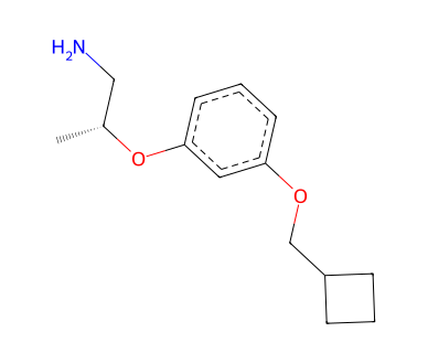 C[C@H](CN)Oc1cccc(OCC2CCC2)c1